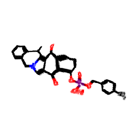 CC1c2ccccc2Cn2cc3c(c21)C(=O)c1cccc(OP(=O)(O)OCc2ccc([N+](=O)[O-])cc2)c1C3=O